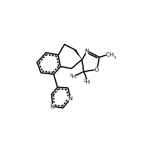 [2H]C1([2H])OC(C)=N[C@]12CCc1cccc(-c3cncnc3)c1C2